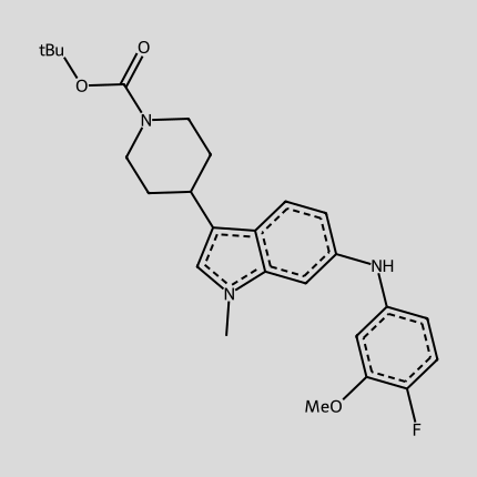 COc1cc(Nc2ccc3c(C4CCN(C(=O)OC(C)(C)C)CC4)cn(C)c3c2)ccc1F